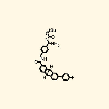 CC(C)(C)OC(=O)N=C(N)c1ccc(CNC(=O)c2ccc3c(c2)[C@@H]2O[C@H]3c3ccc(-c4ccc(F)cc4)cc32)cc1